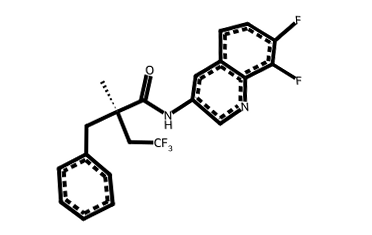 C[C@@](Cc1ccccc1)(CC(F)(F)F)C(=O)Nc1cnc2c(F)c(F)ccc2c1